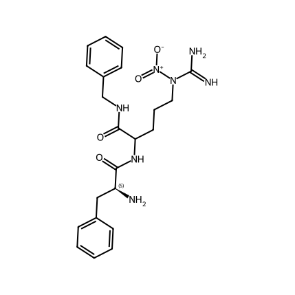 N=C(N)N(CCCC(NC(=O)[C@@H](N)Cc1ccccc1)C(=O)NCc1ccccc1)[N+](=O)[O-]